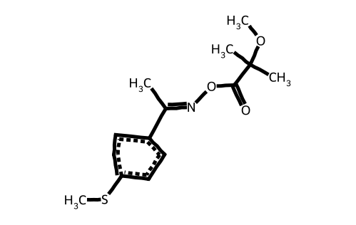 COC(C)(C)C(=O)O/N=C(\C)c1ccc(SC)cc1